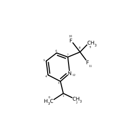 CC(C)c1cccc(C(C)(F)F)n1